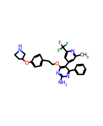 Cc1cc(-c2c(OCCc3ccc(OC4CCNC4)cc3)nc(N)nc2-c2ccccc2)cc(C(F)(F)F)n1